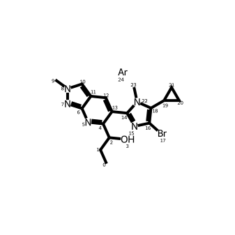 CCC(O)c1nc2nn(C)cc2cc1-c1nc(Br)c(C2CC2)n1C.[Ar]